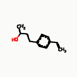 C=Cc1ccc(CCC(C)O)cc1